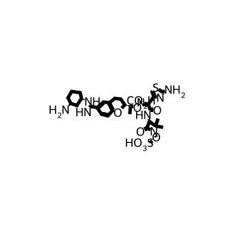 CC(O/N=C(\C(=O)N[C@@H]1C(=O)N(OS(=O)(=O)O)C1(C)C)c1csc(N)n1)(C(=O)O)[C@H]1CCc2cc(C(=N)N[C@H]3CCC[C@H](N)C3)ccc2O1